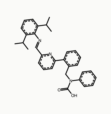 CC(C)c1cccc(C(C)C)c1/N=C/c1cccc(-c2ccccc2CN(C(=O)O)c2ccccc2)n1